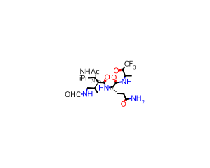 CC(=O)N[C@@H](C(C)C)[C@@H](C(=O)N[C@@H](CCC(N)=O)C(=O)NC(C)C(=O)C(F)(F)F)C(C)CNC=O